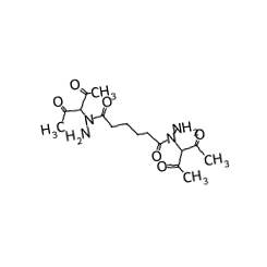 CC(=O)C(C(C)=O)N(N)C(=O)CCCCC(=O)N(N)C(C(C)=O)C(C)=O